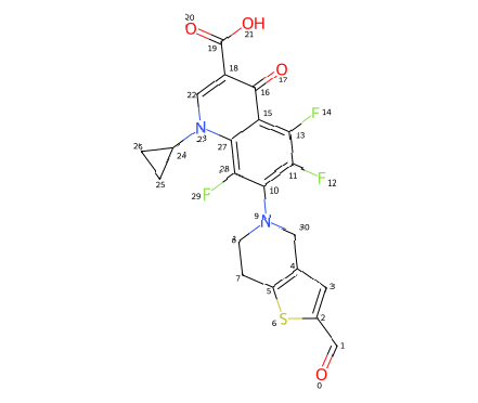 O=Cc1cc2c(s1)CCN(c1c(F)c(F)c3c(=O)c(C(=O)O)cn(C4CC4)c3c1F)C2